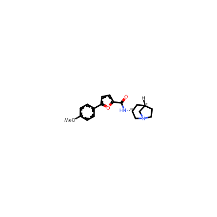 COc1ccc(-c2ccc(C(=O)N[C@@H]3C[C@@H]4CCN(C4)C3)o2)cc1